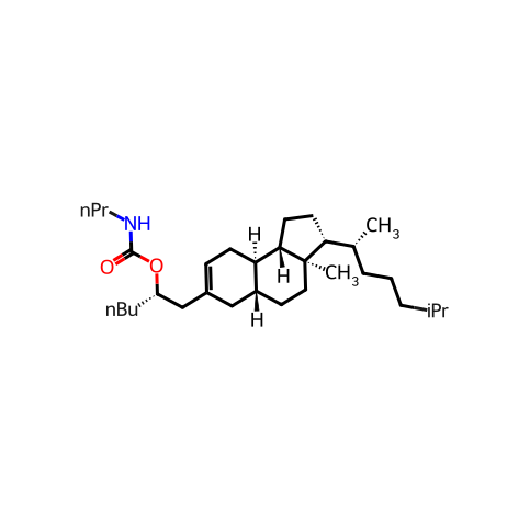 CCCC[C@@H](CC1=CC[C@@H]2[C@H](CC[C@]3(C)[C@@H]([C@H](C)CCCC(C)C)CC[C@@H]23)C1)OC(=O)NCCC